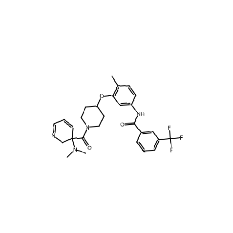 Cc1ccc(NC(=O)c2cccc(C(F)(F)F)c2)cc1OC1CCN(C(=O)C2(N(C)C)C=CC=NC2)CC1